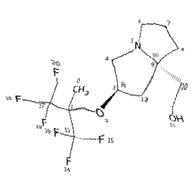 CC(O[C@H]1CN2CCC[C@@]2(CO)C1)(C(F)(F)F)C(F)(F)F